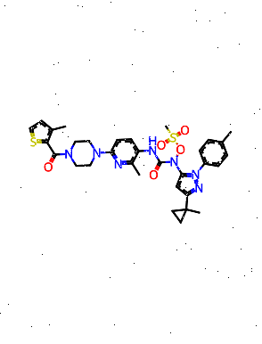 Cc1ccc(-n2nc(C3(C)CC3)cc2N(OS(C)(=O)=O)C(=O)Nc2ccc(N3CCN(C(=O)c4sccc4C)CC3)nc2C)cc1